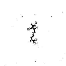 Cc1c(Br)c(COCCN(C)C(=O)O)nn1C